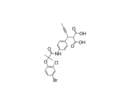 CC#CC(c1ccc(NC(=O)C(C)(C)Oc2ccc(Br)cc2Cl)cc1)C(C(=O)O)C(=O)O